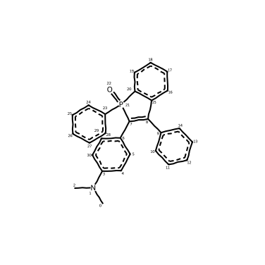 CN(C)c1ccc(C2=C(c3ccccc3)c3ccccc3P2(=O)c2ccccc2)cc1